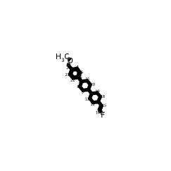 COCc1ccc(C2CCC(C3CCC(/C=C/F)CC3)CC2)cc1